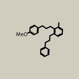 COc1ccc(CCCc2c(CCCc3ccccc3)[c]ccc2C)cc1